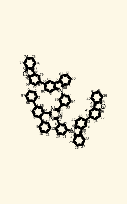 c1ccc(-c2ccc(-c3ccccc3)c(-c3nc(-c4cccc(-n5c6ccccc6c6cc(-c7ccc8oc9ccccc9c8c7)ccc65)c4)nc(-c4cccc(-n5c6ccccc6c6cc(-c7ccc8oc9ccccc9c8c7)ccc65)c4)n3)c2)cc1